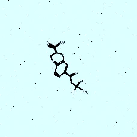 CC(C)(C)CC(=O)c1ccc2c(c1)OC(C(=O)O)CO2